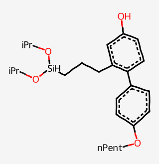 CCCCCOc1ccc(-c2ccc(O)cc2CCC[SiH](OC(C)C)OC(C)C)cc1